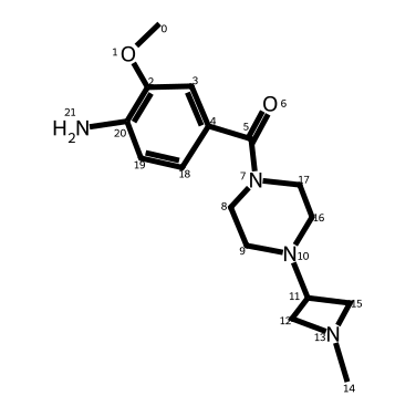 COc1cc(C(=O)N2CCN(C3CN(C)C3)CC2)ccc1N